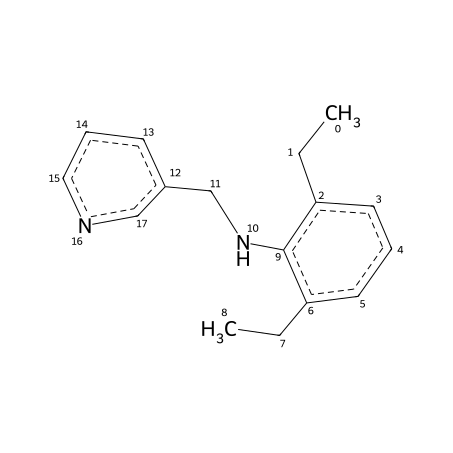 CCc1cccc(CC)c1NCc1cccnc1